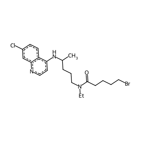 CCN(CCCC(C)Nc1ccnc2cc(Cl)ccc12)C(=O)CCCCBr